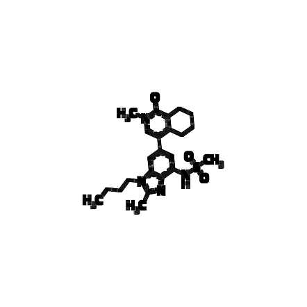 CCCCn1c(C)nc2c(NS(C)(=O)=O)cc(-c3cn(C)c(=O)c4c3CCCC4)cc21